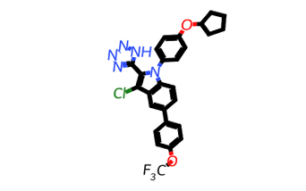 FC(F)(F)Oc1ccc(-c2ccc3c(c2)c(Cl)c(-c2nnn[nH]2)n3-c2ccc(OC3CCCC3)cc2)cc1